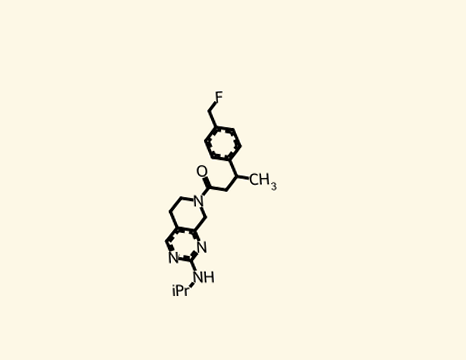 CC(C)Nc1ncc2c(n1)CN(C(=O)CC(C)c1ccc(CF)cc1)CC2